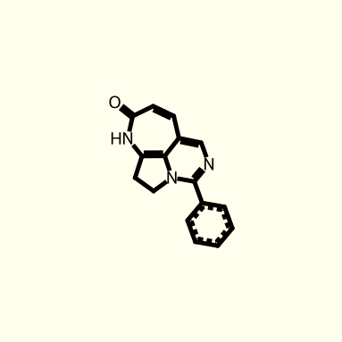 O=C1C=CC2=CN=C(c3ccccc3)N3CCC(=C23)N1